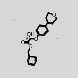 O=C(OCc1ccccc1)[C@H](O)Oc1ccc(C2=CCOCC2)cc1